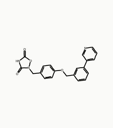 O=c1[nH]c(=O)n(Cc2ccc(OCc3cccc(-c4cccnc4)c3)cc2)o1